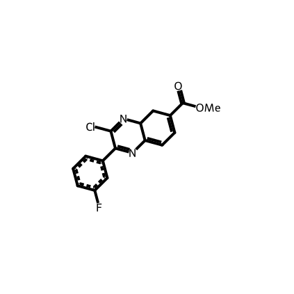 COC(=O)C1=CC=C2N=C(c3cccc(F)c3)C(Cl)=NC2C1